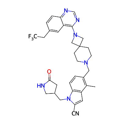 Cc1c(CN2CCC3(CC2)CN(c2ncnc4ccc(CC(F)(F)F)cc24)C3)ccc2c1cc(C#N)n2CC1CNC(=O)C1